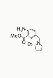 CC[C@H]1CCCN1Cc1ccc(N)c(C(=O)OC)c1